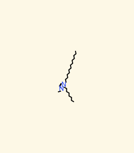 CCCCCCCCCCCCCCN1C=CN(CC)C1CCCCCCC